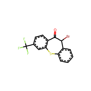 O=C1c2ccc(C(F)(F)F)cc2Sc2ccccc2C1Br